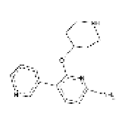 Nc1ccc(-c2cccnc2)c(OC2CCNCC2)n1